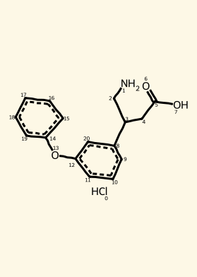 Cl.NCC(CC(=O)O)c1cccc(Oc2ccccc2)c1